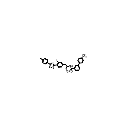 Cc1ccc(-c2nc(-c3ccc(CC(NC(=O)c4cccc(-c5ccc(C(F)(F)F)cc5)c4)OC=O)cc3F)no2)cc1